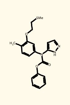 CSCCOc1cc(N(C(=O)Oc2ccccc2)c2ccn[nH]2)ccc1C